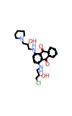 O=C1c2ccccc2C(=O)c2c(NC[C@H](O)CN3CCCCC3)ccc(NC[C@H](O)CCl)c21